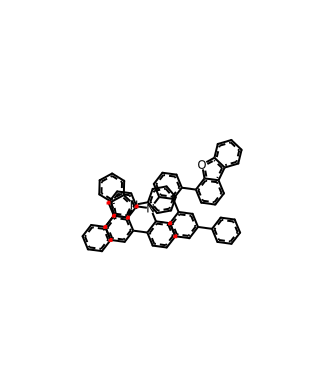 c1ccc(-c2cccc(-c3c(-c4cccc5c4oc4ccccc45)cccc3N(c3cccc(-c4ccccc4)c3)c3ccccc3-c3cccc4c5ccccc5n(-c5ccccc5)c34)c2)cc1